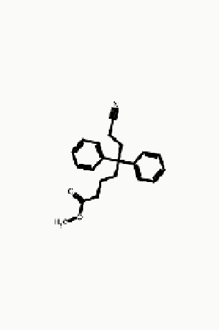 COC(=O)CCCC(CCC#N)(c1ccccc1)c1ccccc1